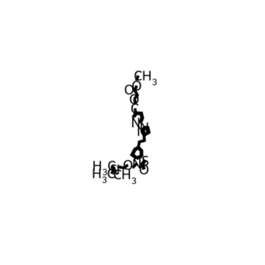 CCOC(=O)COCCc1ccc(-n2ccc(CCc3ccc4c(c3)sc(=O)n4COCC[Si](C)(C)C)n2)nc1